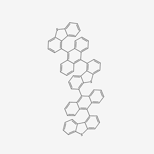 c1ccc2c(c1)sc1cccc(-c3c4ccccc4c(-c4cccc5c4sc4cccc(-c6c7ccccc7c(-c7cccc8sc9ccccc9c78)c7ccccc67)c45)c4ccccc34)c12